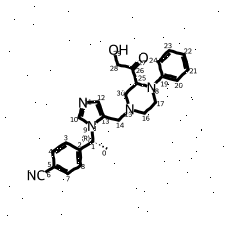 C[C@H](c1ccc(C#N)cc1)n1cncc1CN1CCN(c2ccccc2)C(C(=O)CO)C1